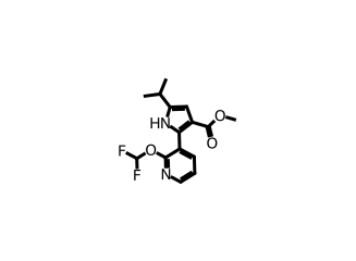 COC(=O)c1cc(C(C)C)[nH]c1-c1cccnc1OC(F)F